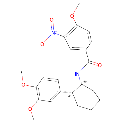 COc1ccc([C@H]2CCCC[C@H]2NC(=O)c2ccc(OC)c([N+](=O)[O-])c2)cc1OC